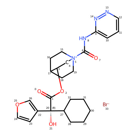 O=C(OC1C[N+]2(C(=O)Nc3cccnn3)CCC1CC2)[C@](O)(c1ccoc1)C1CCCCC1.[Br-]